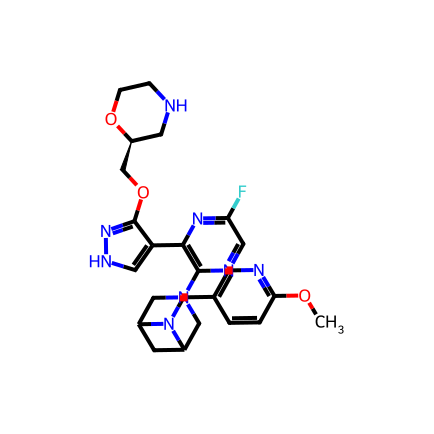 COc1ccc(CN2C3CC2CN(c2ncc(F)nc2-c2c[nH]nc2OC[C@@H]2CNCCO2)C3)cn1